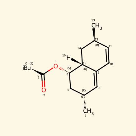 CC[C@H](C)C(=O)O[C@H]1C[C@@H](C)C=C2C=C[C@H](C)C[C@H]21